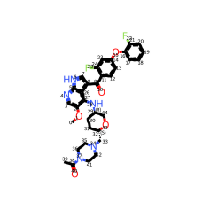 COc1cnc2[nH]cc(C(=O)c3ccc(Oc4ccccc4F)cc3F)c2c1N[C@@H]1CC[C@@H](CN2CCN(C(C)=O)CC2)OC1